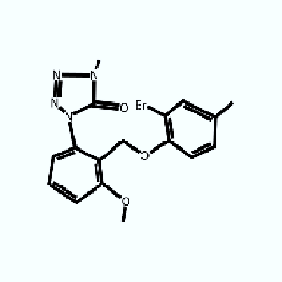 COc1cccc(-n2nnn(C)c2=O)c1COc1ccc(C)cc1Br